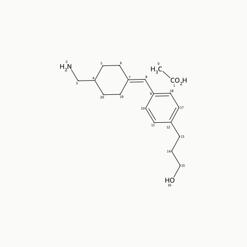 CC(=O)O.NCC1CCC(=Cc2ccc(CCCO)cc2)CC1